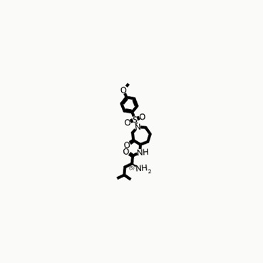 COc1ccc(S(=O)(=O)N2CCCC(NC(=O)[C@@H](N)CC(C)C)C(=O)C2)cc1